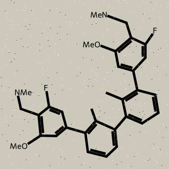 CNCc1c(F)cc(-c2cccc(-c3cccc(-c4cc(F)c(CNC)c(OC)c4)c3C)c2C)cc1OC